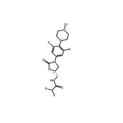 O=C1O[C@@H](CNC(=S)C(F)F)CN1c1cc(F)c(N2CC[S+]([O-])CC2)c(F)c1